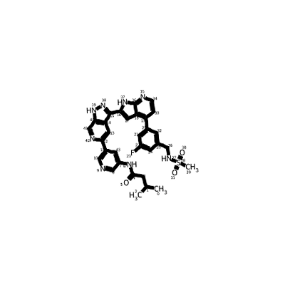 CC(C)CC(=O)Nc1cncc(-c2cc3c(-c4cc5c(-c6cc(F)cc(CNS(C)(=O)=O)c6)ccnc5[nH]4)n[nH]c3cn2)c1